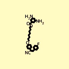 N#CC(=Cc1ccc(F)cc1)c1ccc(OCCCCCCCCOC(=O)c2cc(N)cc(N)c2)cc1